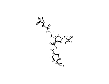 CS(=O)(=O)O[C@H]1C[C@@H](CSCC(=O)NCC(N)=O)N(C(=O)OCc2ccc([N+](=O)[O-])cc2)C1